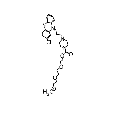 COCCOCCOCCOC(=O)N1CCN(CCCN2c3ccccc3Sc3ccc(Cl)cc32)CC1